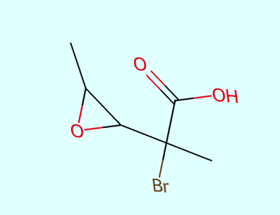 CC1OC1C(C)(Br)C(=O)O